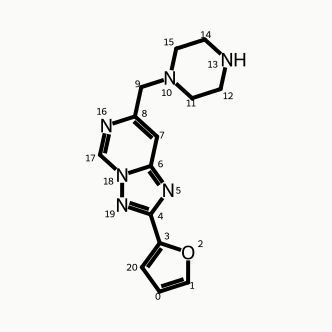 c1coc(-c2nc3cc(CN4CCNCC4)ncn3n2)c1